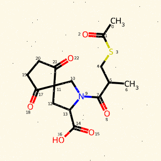 CC(=O)SCC(C)C(=O)N1CC2(CC1C(=O)O)C(=O)CCC2=O